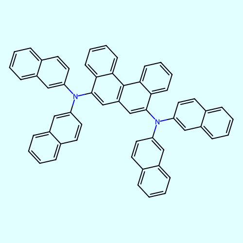 c1ccc2cc(N(c3ccc4ccccc4c3)c3cc4cc(N(c5ccc6ccccc6c5)c5ccc6ccccc6c5)c5ccccc5c4c4ccccc34)ccc2c1